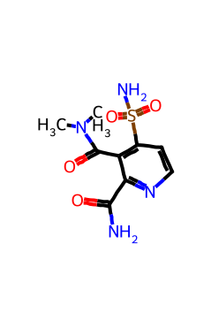 CN(C)C(=O)c1c(S(N)(=O)=O)ccnc1C(N)=O